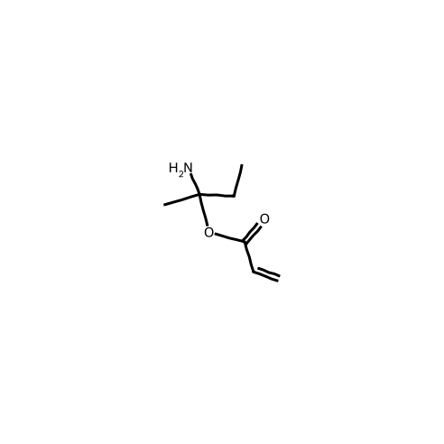 C=CC(=O)OC(C)(N)CC